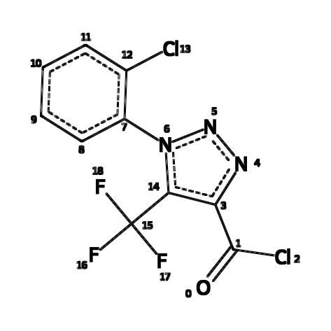 O=C(Cl)c1nnn(-c2ccccc2Cl)c1C(F)(F)F